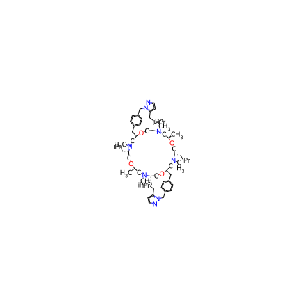 CC(C)Cc1ccnn1Cc1ccc(C[C@@H]2CN(C)[C@@H](CC(C)C)CO[C@H](C)CN(C)[C@@H](CC(C)C)CO[C@H](Cc3ccc(Cn4nccc4CC(C)C)cc3)CN(C)[C@@H](CC(C)C)CO[C@H](C)CN(C)[C@@H](CC(C)C)CO2)cc1